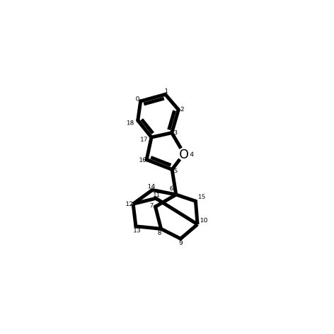 c1ccc2oc(C34CC5CC(CC(C5)C3)C4)cc2c1